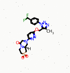 Cc1nnn(-c2ccc(C(F)F)cc2)c1COc1ccc(N2CC(=O)N3CCS(=O)(=O)C[C@H]3C2)nn1